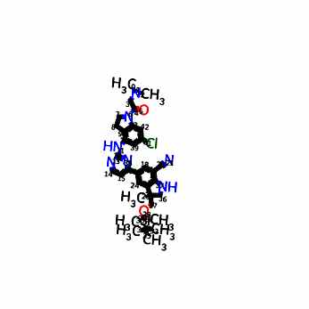 CN(C)CC(=O)N1CCc2c(Nc3nccc(-c4cc(C#N)c5c(c4)[C@@](C)(CO[Si](C)(C)C(C)(C)C)CN5)n3)cc(Cl)cc21